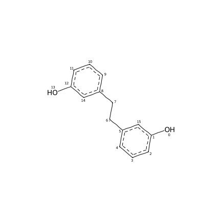 Oc1cccc([CH]Cc2cccc(O)c2)c1